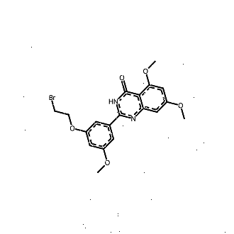 COc1cc(OCCBr)cc(-c2nc3cc(OC)cc(OC)c3c(=O)[nH]2)c1